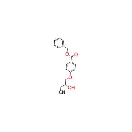 N#CCC(O)COc1ccc(C(=O)OCc2ccccc2)cc1